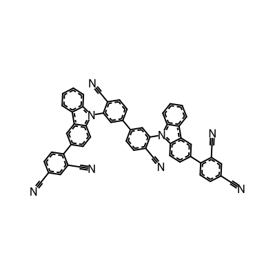 N#Cc1ccc(-c2ccc3c(c2)c2ccccc2n3-c2cc(-c3ccc(C#N)c(-n4c5ccccc5c5cc(-c6ccc(C#N)cc6C#N)ccc54)c3)ccc2C#N)c(C#N)c1